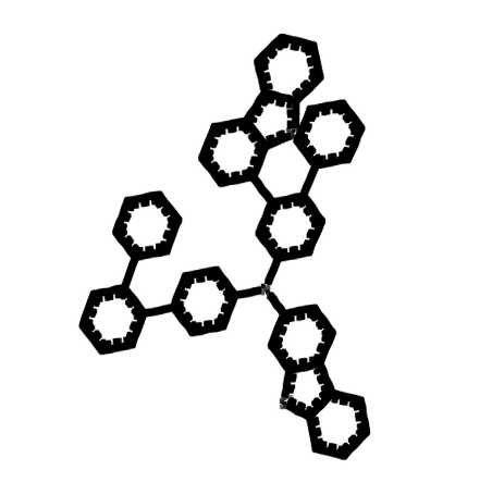 c1ccc(-c2ccccc2-c2ccc(N(c3ccc(-c4ccccc4)c(-c4cccc5c4oc4ccccc45)c3)c3ccc4c(c3)sc3ccccc34)cc2)cc1